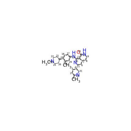 Cc1ccc(-c2cc3cc[nH]c(=O)c3c(Nc3ccc(C4CCN(C)CC4)c(C)c3)n2)cn1